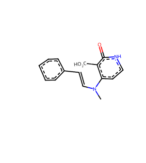 CN(C=Cc1ccccc1)c1cc[nH]c(=O)c1C(=O)O